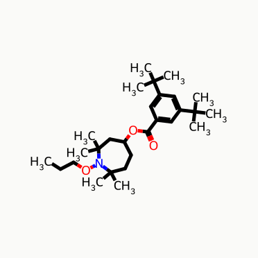 CCCON1C(C)(C)CCC(OC(=O)c2cc(C(C)(C)C)cc(C(C)(C)C)c2)CC1(C)C